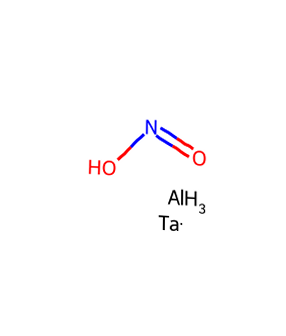 O=NO.[AlH3].[Ta]